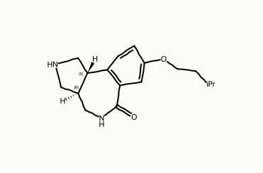 CC(C)CCOc1ccc2c(c1)C(=O)NC[C@H]1CNC[C@H]21